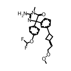 COOCC=C1CC(c2cccc(C3(c4ccc(OC(F)F)cc4)N=C(N)N(C)C3=O)c2)C1